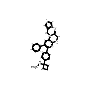 O=C(O)NC1(c2ccc(-c3nc4c(cc3-c3ccccc3)N(Cc3cscn3)C(=O)CO4)cc2)CCC1